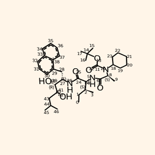 CC[C@H](C)[C@H](NC(=O)[C@H](C)N(C(=O)OC(C)(C)C)C1CCCCC1)C(=O)N[C@@H](Cc1cccc2ccccc12)[C@@H](O)[C@@H](O)CC(C)C